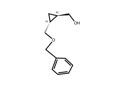 OC[C@@H]1C[C@H]1COCc1ccccc1